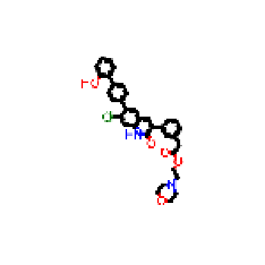 O=C(Cc1cccc(-c2cc3cc(-c4ccc(-c5ccccc5O)cc4)c(Cl)cc3[nH]c2=O)c1)OCCN1CCOCC1